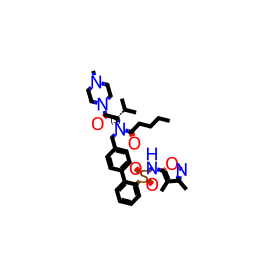 CCCCC(=O)N(Cc1ccc(-c2ccccc2S(=O)(=O)Nc2onc(C)c2C)cc1)[C@H](C(=O)N1CCN(C)CC1)C(C)C